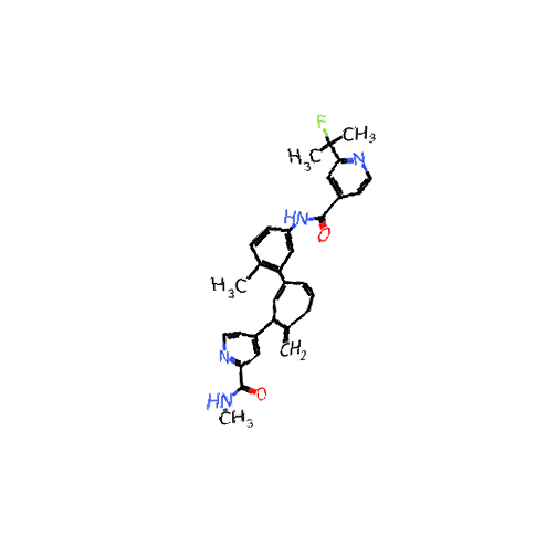 C=C1CC=CC(c2cc(NC(=O)c3ccnc(C(C)(C)F)c3)ccc2C)=CC1c1ccnc(C(=O)NC)c1